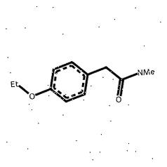 CCOc1ccc(CC(=O)NC)cc1